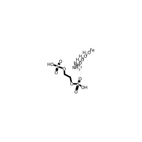 N.N.O.O.O.O.O=S(=O)(O)OCCOS(=O)(=O)O.[Fe]